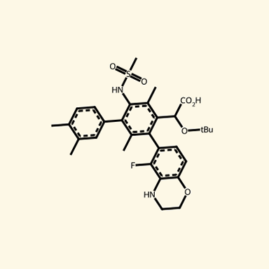 Cc1ccc(-c2c(C)c(-c3ccc4c(c3F)NCCO4)c(C(OC(C)(C)C)C(=O)O)c(C)c2NS(C)(=O)=O)cc1C